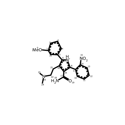 COc1cccc(-c2[nH]c(-c3ccccc3[N+](=O)[O-])c(C(N)=O)c2CCN(C)C)c1